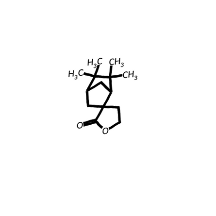 CC1(C)C2CC(C3(CCOC3=O)C2)C1(C)C